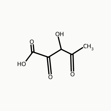 CC(=O)C(O)C(=O)C(=O)O